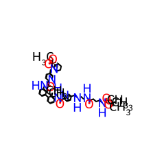 COC(=O)[C@@H]1CCCCN1Cc1ccc(C(=O)Nc2cccc(-c3cccc(NC(=O)c4ccc(CNCCNC(=O)CCCNC(=O)OC(C)(C)C)cn4)c3C)c2C)nc1